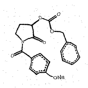 COc1ccc(C(=O)N2CCC(OC(=O)OCc3ccccc3)C2=O)cc1